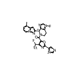 CCC(F)c1nc(-c2cncn2C)oc1C(=O)N1CCc2c(ncn2F)[C@@H]1c1cc2c(C)cccn2n1